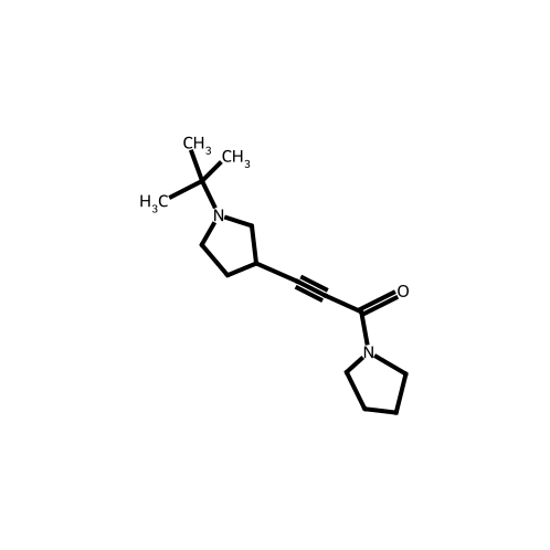 CC(C)(C)N1CCC(C#CC(=O)N2CCCC2)C1